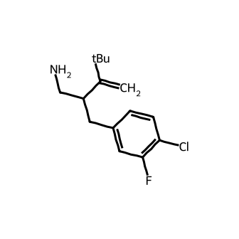 C=C(C(CN)Cc1ccc(Cl)c(F)c1)C(C)(C)C